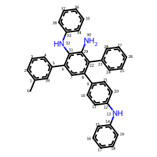 Cc1cccc(-c2cc(-c3ccc(Nc4ccccc4)cc3)c(-c3ccccc3)c(N)c2Nc2ccccc2)c1